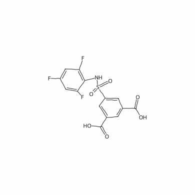 O=C(O)c1cc(C(=O)O)cc(S(=O)(=O)Nc2c(F)cc(F)cc2F)c1